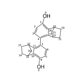 Oc1ccc(-c2ccc(O)c3c2C2CCC3C2)c2c1C1CCC2C1